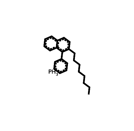 CCCCCCCCc1ccc2ccccc2c1-c1ccccc1.P